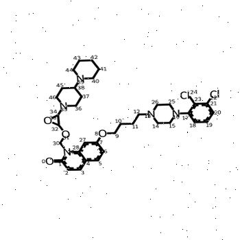 O=c1ccc2ccc(OCCCCN3CCN(c4cccc(Cl)c4Cl)CC3)cc2n1COC1OC1N1CCC(N2CCCCC2)CC1